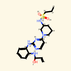 C=CC(O)Nc1ccccc1Nc1nccc(N2CCCC(NS(=O)(=O)CCC)C2)n1